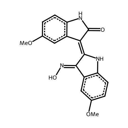 COc1ccc2c(c1)/C(=C1/Nc3ccc(OC)cc3/C1=N\O)C(=O)N2